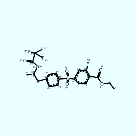 CCOC(=O)c1ccc(S(=O)(=O)c2ccc(C[C@@H](C)NC(=O)C(F)(F)F)cc2)cc1F